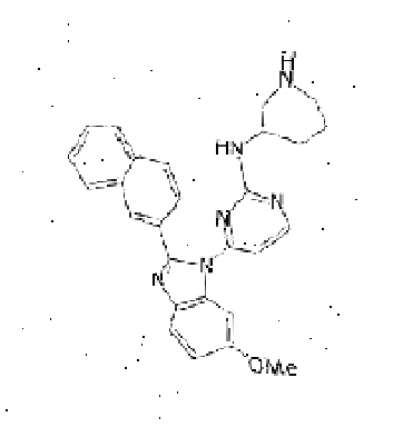 COc1ccc2nc(-c3ccc4ccccc4c3)n(-c3ccnc(NC4CCCNC4)n3)c2c1